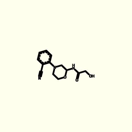 N#Cc1ccccc1N1CCOC(NC(=O)CO)C1